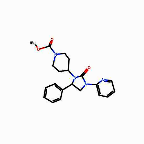 CC(C)(C)OC(=O)N1CCC(N2C(=O)N(c3ccccn3)CC2c2ccccc2)CC1